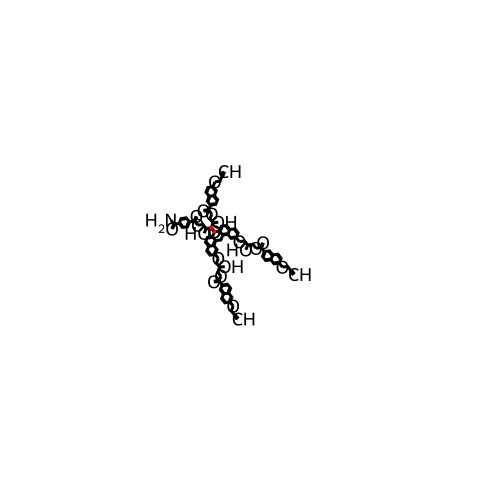 C#CCOc1ccc2cc(C(=O)OCC(O)COc3ccc4ccc(OCC(O)COC(=O)c5ccc(C(N)=O)cc5)c(Cc5c(OCC(O)COC(=O)c6ccc7cc(OCC#C)ccc7c6)ccc6ccc(OCC(O)COC(=O)c7ccc8cc(OCC#C)ccc8c7)cc56)c4c3)ccc2c1